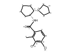 Cc1c(C(=O)N[C@@H]2CCCC[C@@H]2N2CCCC2)ccc(Cl)c1Cl